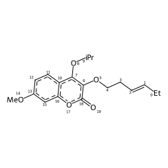 CC/C=C/CCOc1c(OC(C)C)c2ccc(OC)cc2oc1=O